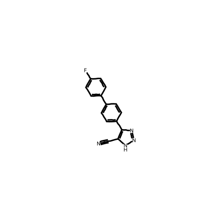 N#Cc1[nH]nnc1-c1ccc(-c2ccc(F)cc2)cc1